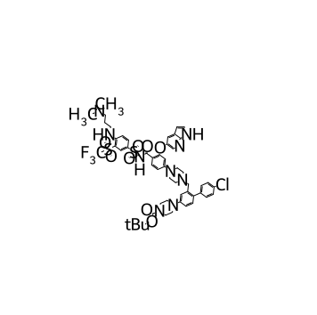 CN(C)CCCNc1ccc(S(=O)(=O)NC(=O)c2ccc(N3CCN(Cc4cc(N5CCN(C(=O)OC(C)(C)C)CC5)ccc4-c4ccc(Cl)cc4)CC3)cc2Oc2cnc3[nH]ccc3c2)cc1S(=O)(=O)C(F)(F)F